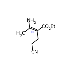 CCOC(=O)/C(CCC#N)=C(/C)N